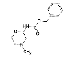 CN1CCOC(NC(=O)OCc2ccccc2)C1